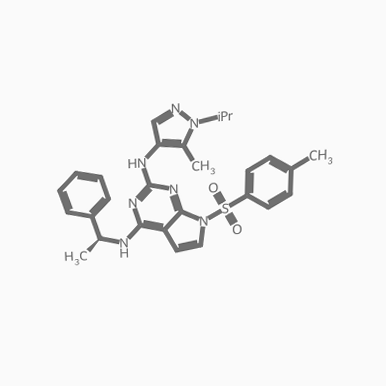 Cc1ccc(S(=O)(=O)n2ccc3c(N[C@@H](C)c4ccccc4)nc(Nc4cnn(C(C)C)c4C)nc32)cc1